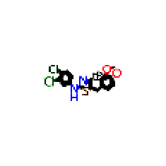 CC(C)(C)c1nc(Nc2ccc(Cl)c(Cl)c2)sc1Cc1ccc2c(c1)OCO2